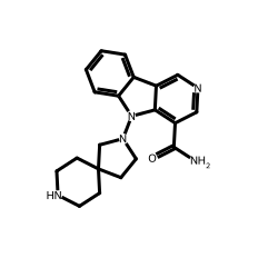 NC(=O)c1cncc2c3ccccc3n(N3CCC4(CCNCC4)C3)c12